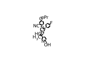 CCCOc1ccc(N2CCN(C[C@@](C)(O)c3ccc(CO)nc3)C[C@H]2c2ccc(F)cc2)c(C#N)c1